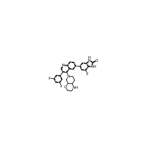 O=c1[nH]c2cc(-c3ccc4ncc(-c5cc(F)cc(F)c5)c(N5CCC6NCCOC6C5)c4c3)cc(F)c2[nH]1